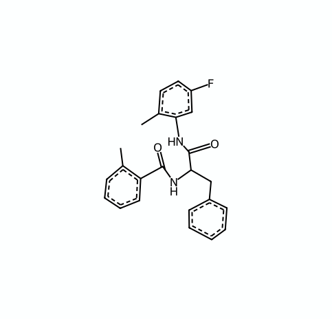 Cc1ccc(F)cc1NC(=O)C(Cc1ccccc1)NC(=O)c1ccccc1C